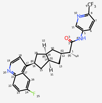 C[C@@H](C(=O)Nc1ccc(C(F)(F)F)nc1)[C@H]1C[C@H]2C[C@@H](c3ccnc4ccc(F)cc34)C[C@H]2C1